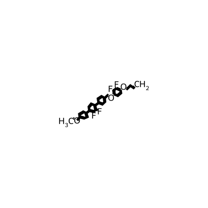 C=CCCOc1ccc(OCc2ccc(-c3ccc(-c4ccc(OCC)cc4)c(F)c3F)cc2)c(F)c1F